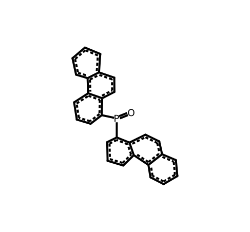 O=[P](c1cccc2c1ccc1ccccc12)c1cccc2c1ccc1ccccc12